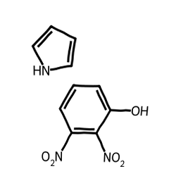 O=[N+]([O-])c1cccc(O)c1[N+](=O)[O-].c1cc[nH]c1